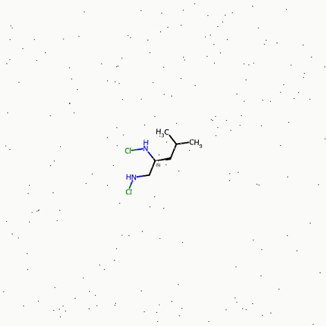 CC(C)C[C@@H](CNCl)NCl